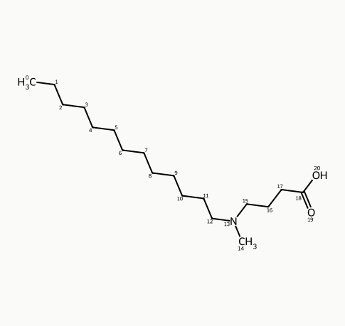 CCCCCCCCCCCCCN(C)CCCC(=O)O